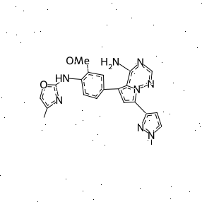 COc1cc(-c2cc(-c3ccn(C)n3)n3ncnc(N)c23)ccc1Nc1nc(C)co1